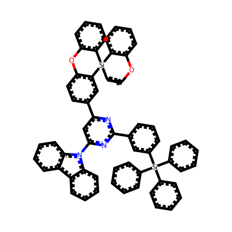 c1ccc([Si](c2ccccc2)(c2ccccc2)c2cccc(-c3nc(-c4ccc5c(c4)[Si]4(c6ccccc6Oc6ccccc64)c4ccccc4O5)cc(-n4c5ccccc5c5ccccc54)n3)c2)cc1